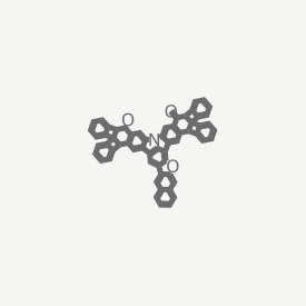 O=C1c2cc3c(cc2C2c4ccccc4C24c2ccccc2C14)c1cc2c4cc5ccccc5cc4oc2c2c4cc5c(cc4n3c12)C(=O)C1c2ccccc2C12c1ccccc1C52